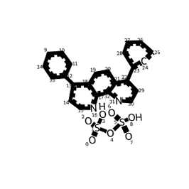 O=S(=O)(O)OS(=O)(=O)O.c1ccc(-c2ccnc3c2ccc2c(-c4ccccc4)ccnc23)cc1